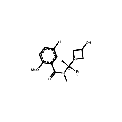 CC[C@H](C)[C@@](C)(N1CC(O)C1)N(C)C(=O)c1cc(Cl)ccc1OC